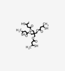 CC(S)CC(=O)OCC(COC(=O)CC(C)S)(COC(=O)CC(C)S)COC(=O)CC(S)I